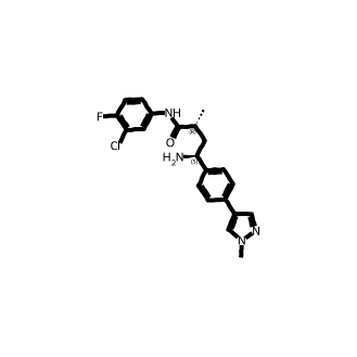 C[C@H](C[C@H](N)c1ccc(-c2cnn(C)c2)cc1)C(=O)Nc1ccc(F)c(Cl)c1